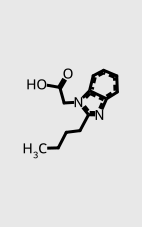 CCCCc1nc2ccccc2n1CC(=O)O